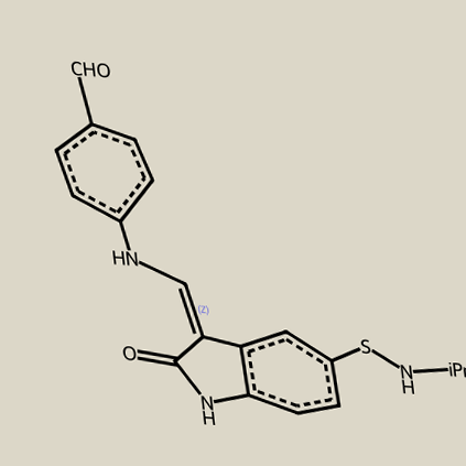 CC(C)NSc1ccc2c(c1)/C(=C/Nc1ccc(C=O)cc1)C(=O)N2